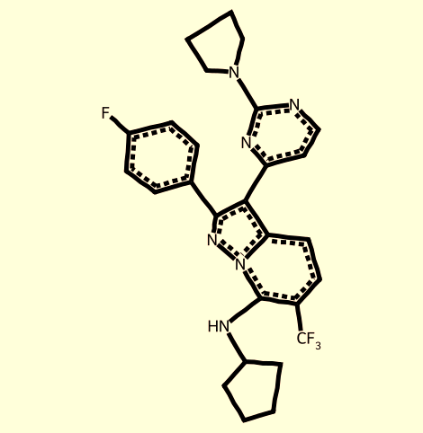 Fc1ccc(-c2nn3c(NC4CCCC4)c(C(F)(F)F)ccc3c2-c2ccnc(N3CCCC3)n2)cc1